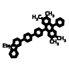 CCn1c2ccccc2c2cc(-c3ccc(-c4ccc(-c5c6cc(C)c(C)cc6c(-c6ccccc6)c6cc(C)c(C)cc56)cc4)cc3)ccc21